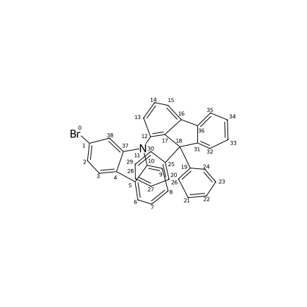 Brc1ccc2c3ccccc3n(-c3cccc4c3C(c3ccccc3)(c3ccccc3)c3ccccc3-4)c2c1